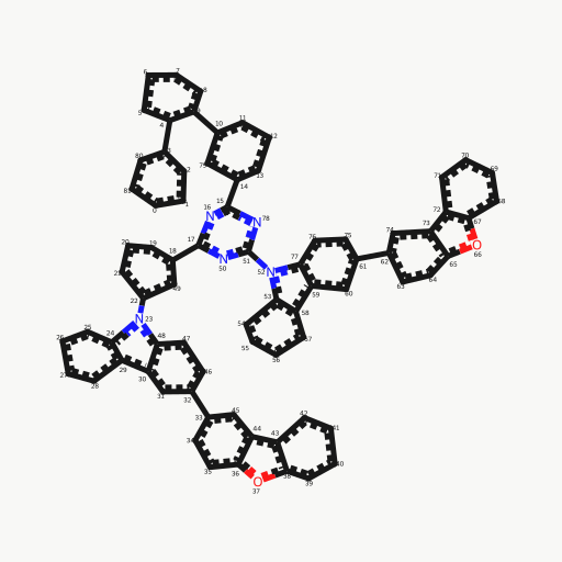 c1ccc(-c2ccccc2-c2cccc(-c3nc(-c4cccc(-n5c6ccccc6c6cc(-c7ccc8oc9ccccc9c8c7)ccc65)c4)nc(-n4c5ccccc5c5cc(-c6ccc7oc8ccccc8c7c6)ccc54)n3)c2)cc1